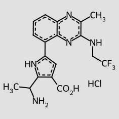 Cc1nc2cccc(-c3cc(C(=O)O)c(C(C)N)[nH]3)c2nc1NCC(F)(F)F.Cl